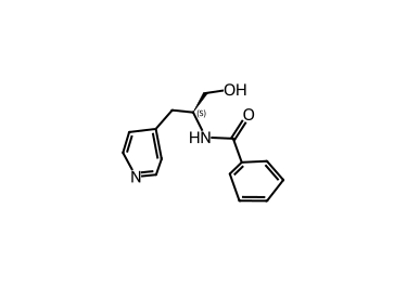 O=C(N[C@H](CO)Cc1ccncc1)c1ccccc1